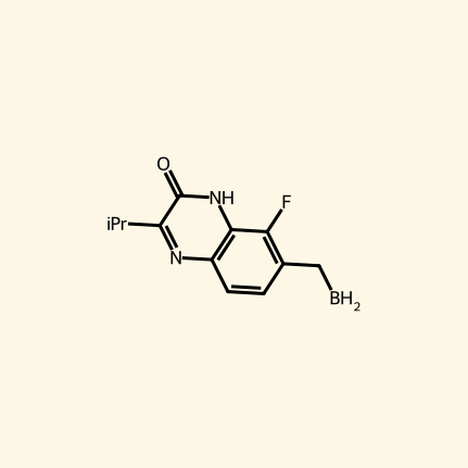 BCc1ccc2nc(C(C)C)c(=O)[nH]c2c1F